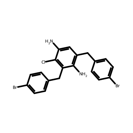 Nc1cc(Cc2ccc(Br)cc2)c(N)c(Cc2ccc(Br)cc2)c1Cl